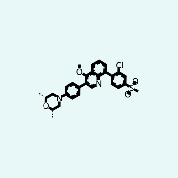 COc1c(-c2ccc(N3C[C@@H](C)O[C@@H](C)C3)cc2)cnc2c(-c3ccc(S(C)(=O)=O)cc3Cl)cccc12